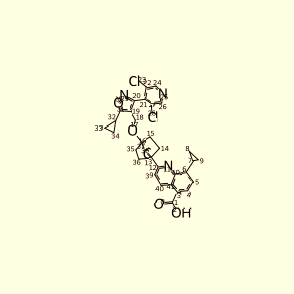 O=C(O)c1ccc(C2CC2)c2nc(C34CCC(OCc5c(-c6c(Cl)cncc6Cl)noc5C5CC5)(CC3)CC4)ccc12